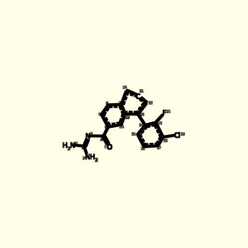 NC(N)=NC(=O)c1ccc2cccc(-c3cccc(Cl)c3F)c2c1